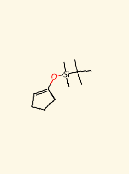 CC(C)(C)[Si](C)(C)OC1=CCCC1